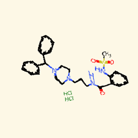 CS(=O)(=O)Nc1ccccc1C(=O)NCCCN1CCN(C(c2ccccc2)c2ccccc2)CC1.Cl.Cl